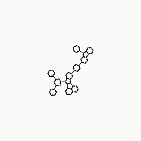 c1ccc(-c2cc(-c3ccccc3)nc(-n3c4c(c5cc(-c6ccc(-c7ccc8c9ccccc9n(-c9ccccc9)c8c7)cc6)ccc53)-c3cccc5cccc-4c35)n2)cc1